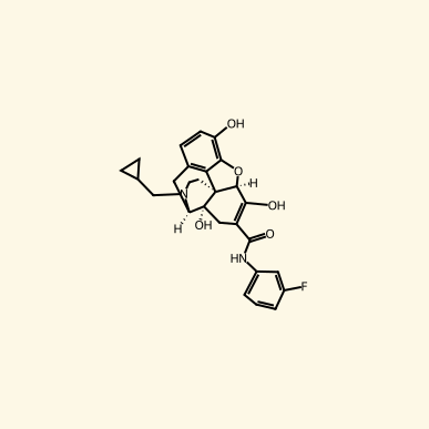 O=C(Nc1cccc(F)c1)C1=C(O)[C@@H]2Oc3c(O)ccc4c3[C@@]23CCN(CC2CC2)[C@H](C4)[C@]3(O)C1